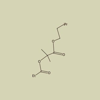 CCC(=O)OC(C)(C)C(=O)OCCC(C)C